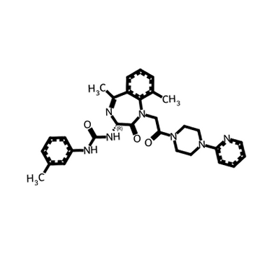 CC1=N[C@@H](NC(=O)Nc2cccc(C)c2)C(=O)N(CC(=O)N2CCN(c3ccccn3)CC2)c2c(C)cccc21